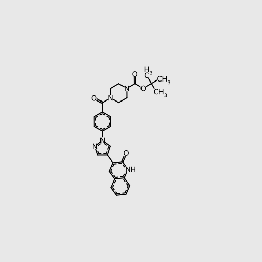 CC(C)(C)OC(=O)N1CCN(C(=O)c2ccc(-n3cc(-c4cc5ccccc5[nH]c4=O)cn3)cc2)CC1